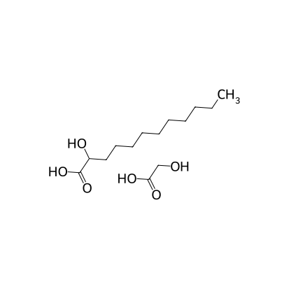 CCCCCCCCCCC(O)C(=O)O.O=C(O)CO